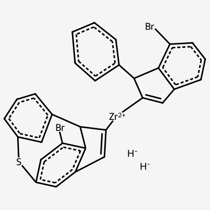 Brc1cccc2c1C(c1ccccc1)[C]([Zr+2][C]1=Cc3cc4cc(Br)c3C1c1cccc(c1)S4)=C2.[H-].[H-]